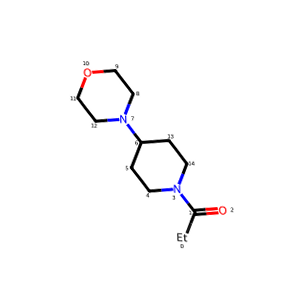 CCC(=O)N1CCC(N2CCOCC2)CC1